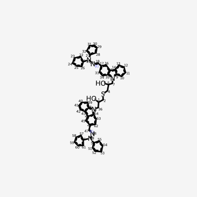 OC(CSCC(O)Cn1c2ccccc2c2cc(/C=N/N(c3ccccc3)c3ccccc3)ccc21)Cn1c2ccccc2c2cc(/C=N/N(c3ccccc3)c3ccccc3)ccc21